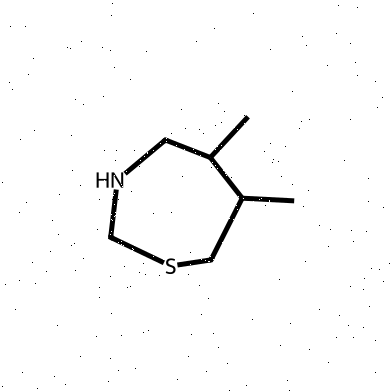 CC1CNCSCC1C